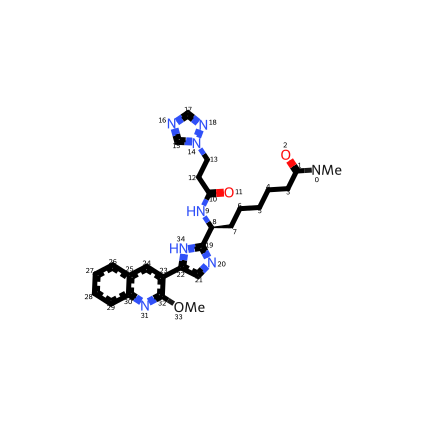 CNC(=O)CCCCC[C@H](NC(=O)CCn1cncn1)c1ncc(-c2cc3ccccc3nc2OC)[nH]1